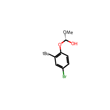 CO[C@H](O)Oc1ccc(Br)cc1C(C)(C)C